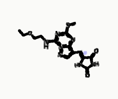 CCOCCNc1nc(SC)nc2c(/C=C3\NC(=O)NC3=O)cnn12